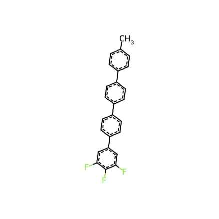 Cc1ccc(-c2ccc(-c3ccc(-c4cc(F)c(F)c(F)c4)cc3)cc2)cc1